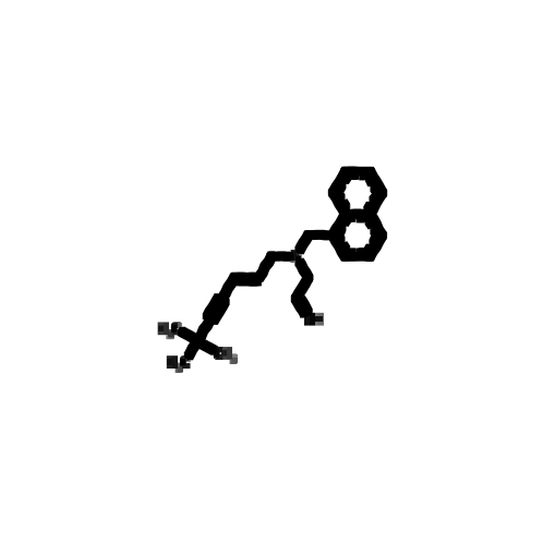 CC(C)(C)C#C/C=C/CN(CC=N)Cc1cccc2ccccc12